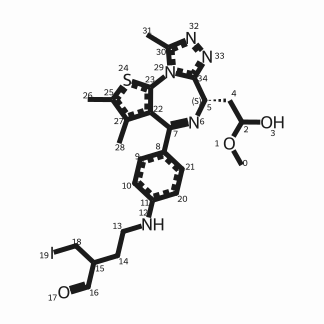 COC(O)C[C@@H]1N=C(c2ccc(NCCC(C=O)CI)cc2)c2c(sc(C)c2C)-n2c(C)nnc21